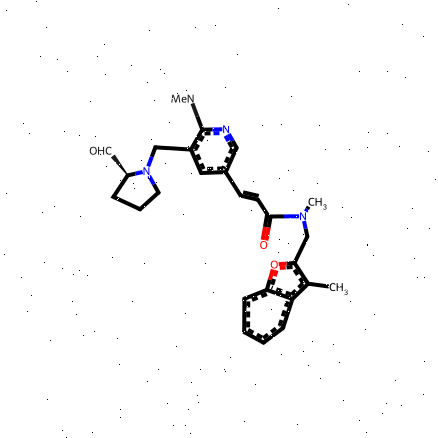 CNc1ncc(/C=C/C(=O)N(C)Cc2oc3ccccc3c2C)cc1CN1CCC[C@H]1C=O